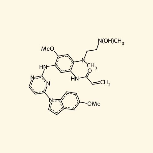 C=CC(=O)Nc1cc(Nc2nccc(-n3ccc4cc(OC)ccc43)n2)c(OC)cc1N(C)CCN(C)O